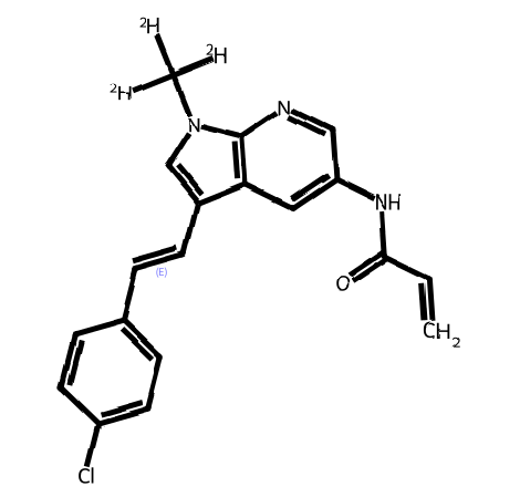 [2H]C([2H])([2H])n1cc(/C=C/c2ccc(Cl)cc2)c2cc(NC(=O)C=C)cnc21